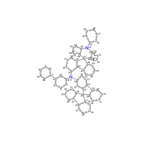 c1ccc(-c2cccc(N(c3ccc4c(c3)C3(c5ccccc5-c5ccccc53)c3ccccc3-4)c3cccc4c3-c3ccccc3C43c4ccccc4N(c4ccccc4)c4ccccc43)c2)cc1